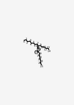 CCCCCCCCC(CCCCCC)COC(=O)CCCCCCC